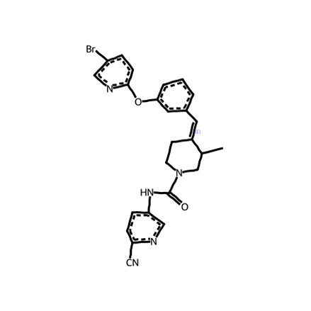 CC1CN(C(=O)Nc2ccc(C#N)nc2)CC/C1=C\c1cccc(Oc2ccc(Br)cn2)c1